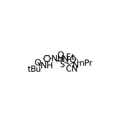 CCCC1COC(C(C#N)=c2sc(=CNc3cccc(NC(=O)C(C)(C)C)c3)c(=O)n2CC)=N1